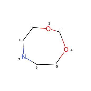 C1COCOCC[N]1